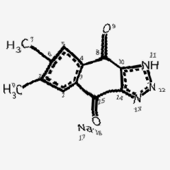 Cc1cc2c(cc1C)C(=O)c1[nH]nnc1C2=O.[Na]